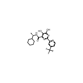 C[C@@H](NC(=O)c1nc(-c2cc(C(F)(F)F)ccn2)nc(O)c1O)C1CCCCC1